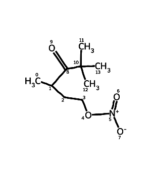 CC(CCO[N+](=O)[O-])C(=O)C(C)(C)C